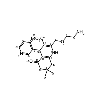 CCOC(=O)C1=C(COCCN)NC2=C(C(=O)CC(C)(C)C2)C1c1cnccc1C